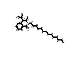 CCCCCCCCCCCCCCn1c(C)c(C(C)=O)c2ccccc2c1=O